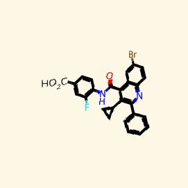 O=C(O)c1ccc(NC(=O)c2c(C3CC3)c(-c3ccccc3)nc3ccc(Br)cc23)c(F)c1